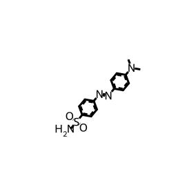 CN(C)c1ccc(N=Nc2ccc(S(N)(=O)=O)cc2)cc1